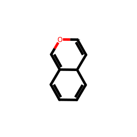 [C]1=CC2C=CC=CC2=CO1